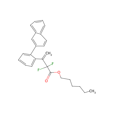 C=C(c1ccccc1-c1ccc2ccccc2c1)C(F)(F)C(=O)OCCCCCC